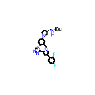 CC[C@@H](C)NC[C@H]1CCN(c2ccc3c(c2)Cn2cc(-c4ccc(F)cc4F)cc2-c2nncn2-3)C1